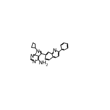 Nc1ncnc2c1c(-c1ccc3ccc(-c4ccccc4)nc3c1)cn2C1CCC1